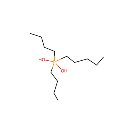 CCCCCP(O)(O)(CCCC)CCCC